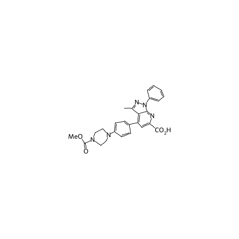 COC(=O)N1CCN(c2ccc(-c3cc(C(=O)O)nc4c3c(C)nn4-c3ccccc3)cc2)CC1